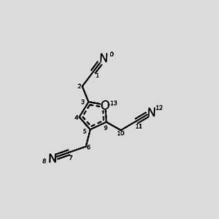 N#CCc1cc(CC#N)c(CC#N)o1